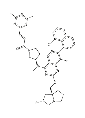 Cc1cc(C=CC(=O)N2CC[C@@H](N(C)c3nc(OC[C@@]45CCCN4C[C@H](F)C5)nc4c(F)c(-c5cccc6cccc(Cl)c56)ncc34)C2)nc(C)n1